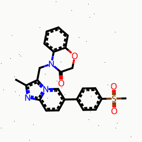 Cc1nc2ccc(-c3ccc(S(C)(=O)=O)cc3)cn2c1CN1C(=O)COc2ccccc21